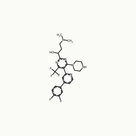 CN(C)CCC(O)c1nc(N2CCNCC2)c(-c2cc(-c3ccc(F)c(F)c3)ccn2)c(C(F)(F)F)n1